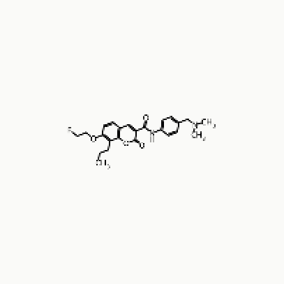 CCCc1c(OCCF)ccc2cc(C(=O)Nc3ccc(CN(C)C)cc3)c(=O)oc12